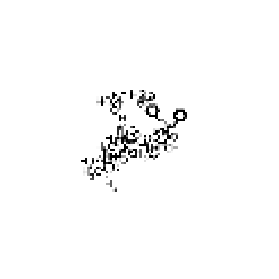 CC[C@H](C)[C@@H]([C@@H](CC(=O)N1CCC[C@H]1[C@H](OC)[C@@H](C)C(=O)N[C@H](CCc1ccc(S(=O)(=O)O)cc1)Cc1ccccc1)OC)N(C)[C@H](C(=O)NC(=O)[C@@H](NC)C(C)C)C(C)C.O=C(O)C(F)(F)F